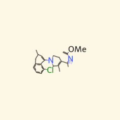 C=C(/N=C(/C)C1=C(C)CN(C2=CC(C)Cc3cccc(Cl)c32)CC1)OC